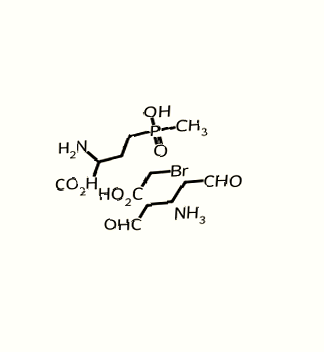 CP(=O)(O)CCC(N)C(=O)O.N.O=C(O)CBr.O=CCCCC=O